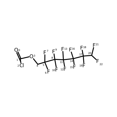 O=C(Cl)OCC(F)(F)C(F)(F)C(F)(F)C(F)(F)C(F)(F)C(F)F